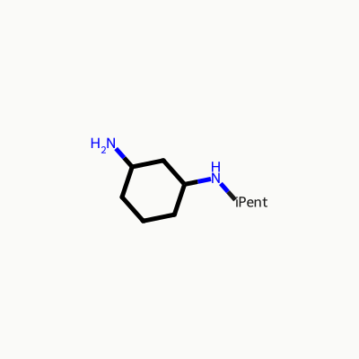 CCCC(C)NC1CCCC(N)C1